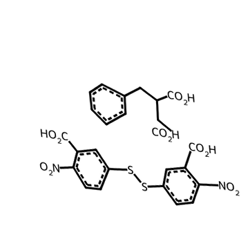 O=C(O)CC(Cc1ccccc1)C(=O)O.O=C(O)c1cc(SSc2ccc([N+](=O)[O-])c(C(=O)O)c2)ccc1[N+](=O)[O-]